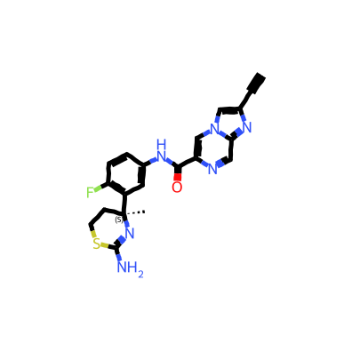 C#Cc1cn2cc(C(=O)Nc3ccc(F)c([C@]4(C)CCSC(N)=N4)c3)ncc2n1